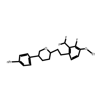 CCCc1ccc(C2CCC(CCc3ccc(OCC)c(F)c3C(F)F)OC2)cc1